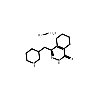 CC(=O)O.O=c1[nH]nc(CC2CCCNC2)c2c1CCCC2